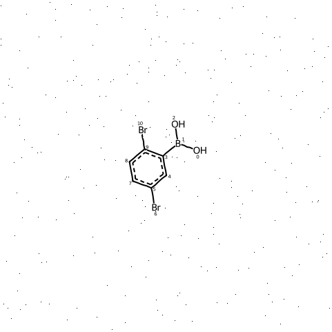 OB(O)c1cc(Br)ccc1Br